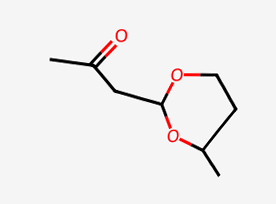 CC(=O)CC1OCCC(C)O1